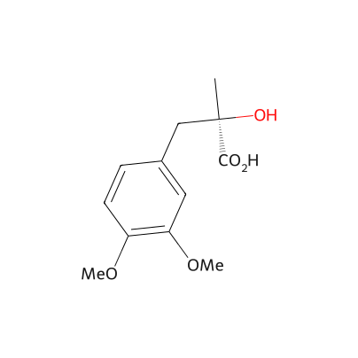 COc1ccc(C[C@@](C)(O)C(=O)O)cc1OC